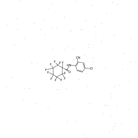 N#Cc1cc(Cl)ccc1NC(=O)C1(F)C(F)(F)C(F)(F)C(F)(F)C(F)(F)C1(F)F